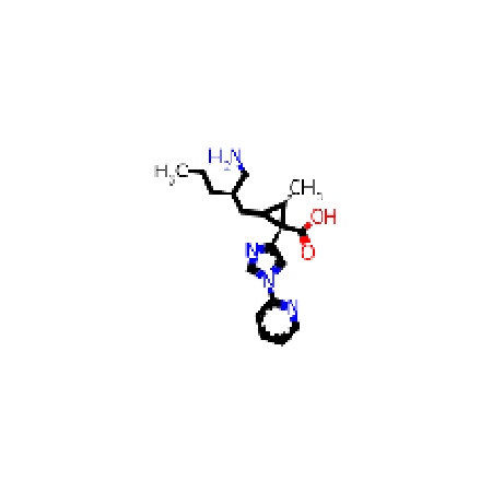 CCC[C@@H](CN)CC1[C@H](C)[C@@]1(C(=O)O)c1cn(-c2ccccn2)cn1